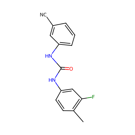 Cc1ccc(NC(=O)Nc2cccc(C#N)c2)cc1F